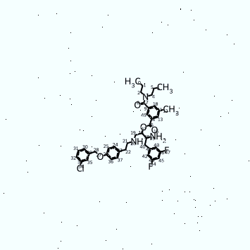 CCCN(CCC)C(=O)c1cc(C)cc(C(=O)OC(CNCCc2ccc(OCc3cccc(Cl)c3)cc2)C(N)Cc2cc(F)cc(F)c2)c1